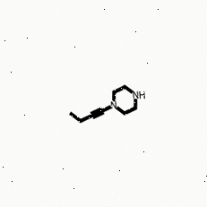 CCC#CN1CCNCC1